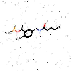 [2H]CCCC(=O)NCc1ccc([N+](=O)[O-])c(C(C)OP(C)OC)c1